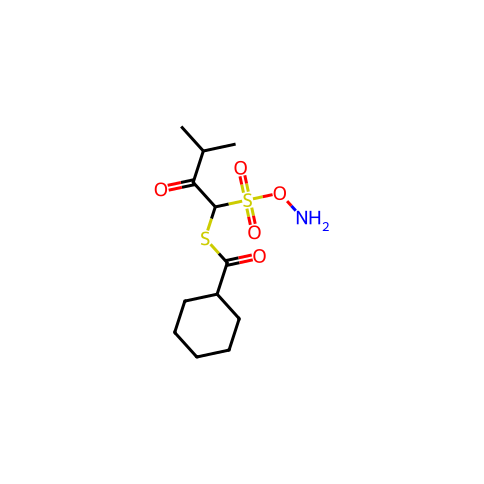 CC(C)C(=O)C(SC(=O)C1CCCCC1)S(=O)(=O)ON